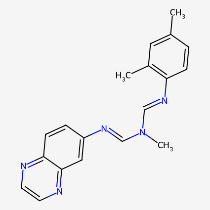 Cc1ccc(N=CN(C)C=Nc2ccc3nccnc3c2)c(C)c1